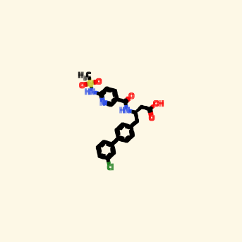 CS(=O)(=O)Nc1ccc(C(=O)N[C@@H](CC(=O)O)Cc2ccc(-c3cccc(Cl)c3)cc2)cn1